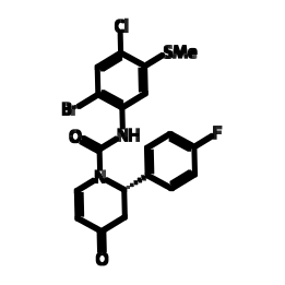 CSc1cc(NC(=O)N2C=CC(=O)C[C@H]2c2ccc(F)cc2)c(Br)cc1Cl